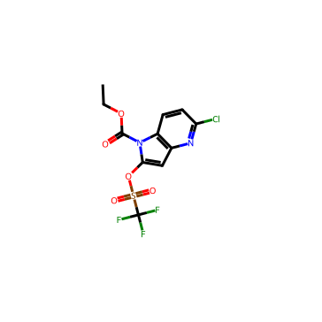 CCOC(=O)n1c(OS(=O)(=O)C(F)(F)F)cc2nc(Cl)ccc21